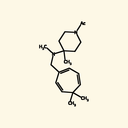 CC(=O)N1CCC(C)(N(C)CC2=CC=CC(C)(C)C=C2)CC1